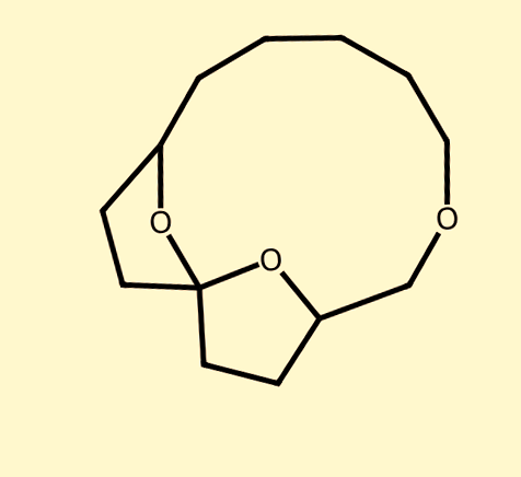 C1CCOCC2CCC3(CCC(CC1)O3)O2